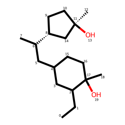 CCC1CC(CC(C)[C@@H]2CC[C@@](C)(O)C2)CCC1(C)O